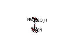 N#Cc1cccc(C2SC[C@@H](OC(=O)O)N2C(=O)CCCCCCCCC(=O)N2C(c3cccc(C#N)c3)SC[C@H]2OC(=O)O)c1